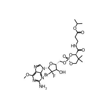 COc1nc(N)nc2c1ncn2[C@@H]1O[C@H](COP2(=O)OCC(C)(C)[C@H](C(=O)NCCC(=O)OC(C)C)O2)C(O)[C@]1(F)Br